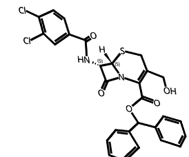 O=C(OC(c1ccccc1)c1ccccc1)C1=C(CO)CS[C@H]2[C@@H](NC(=O)c3ccc(Cl)c(Cl)c3)C(=O)N12